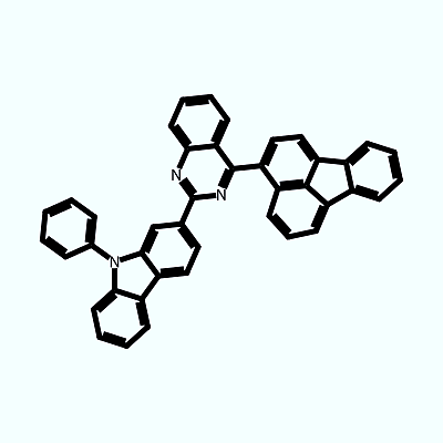 c1ccc(-n2c3ccccc3c3ccc(-c4nc(-c5ccc6c7c(cccc57)-c5ccccc5-6)c5ccccc5n4)cc32)cc1